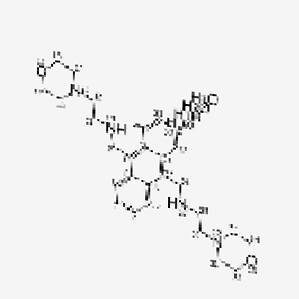 O.O.O.O.c1ccc2c(CNCCN3CCOCC3)c3ccccc3c(CNCCN3CCOCC3)c2c1